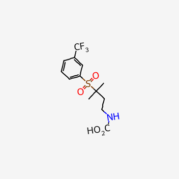 CC(C)(CCNC(=O)O)S(=O)(=O)c1cccc(C(F)(F)F)c1